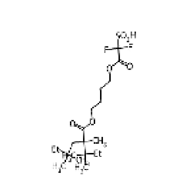 CCC(C)(C)CC(C)(C(=O)OCCCCOC(=O)C(F)(F)S(=O)(=O)O)C(C)(C)CC